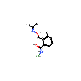 CCC(C)=NOCc1c(C)cccc1C(=O)NCl